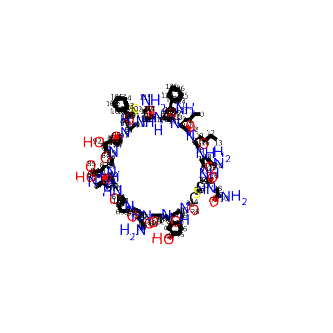 CCCC[C@H]1C(=O)N(C)[C@@H](CCCC)C(=O)N[C@@H](CCN)C(=O)N[C@H](C(=O)NCC(N)=O)CSCC(=O)N[C@@H](Cc2ccc(O)cc2)C(=O)N(C)[C@@H](C)C(=O)N[C@@H](CC(N)=O)C(=O)N2CCC[C@H]2C(=O)N[C@@H](Cc2cnc[nH]2)C(=O)N[C@@H](CCC(=O)O)C(=O)N2C[C@H](O)C[C@H]2C(=O)N[C@@H](Cc2csc3ccccc23)C(=O)N[C@@H](CCN)C(=O)N[C@@H](Cc2c[nH]c3ccccc23)C(=O)N1C